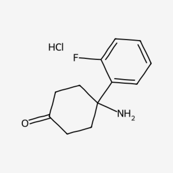 Cl.NC1(c2ccccc2F)CCC(=O)CC1